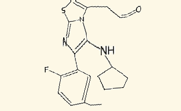 Cc1ccc(F)c(-c2nc3scc(CC=O)n3c2NC2CCCC2)c1